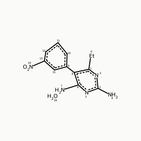 CCc1nc(N)nc(N)c1-c1cccc([N+](=O)[O-])c1.O